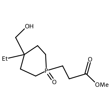 CCC1(CO)CCP(=O)(CCC(=O)OC)CC1